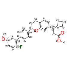 COC(=O)C[C@@H](c1ccc2c(c1)OC(c1ccc(-c3cc(OC)ccc3F)cc1)CC2)C1CCC1